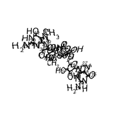 COC1(C(O)P(=O)(O)OP(=O)(O)OP(=O)(O)OC[C@H]2O[C@@H](n3cnc4c(=O)[nH]c(N)nc43)[C@@H](O)C2O)COC[C@@]1(O)N1CN(C)C2=C1N=C(N)NC2O